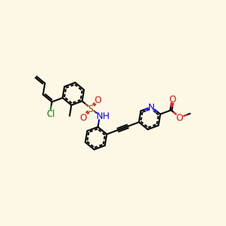 C=C/C=C(/Cl)c1cccc(S(=O)(=O)Nc2ccccc2C#Cc2ccc(C(=O)OC)nc2)c1C